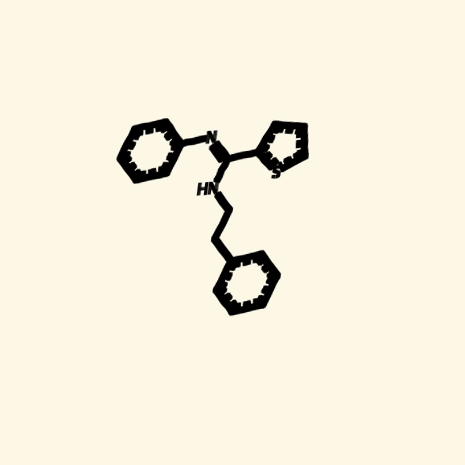 c1ccc(CCN/C(=N\c2ccccc2)c2cccs2)cc1